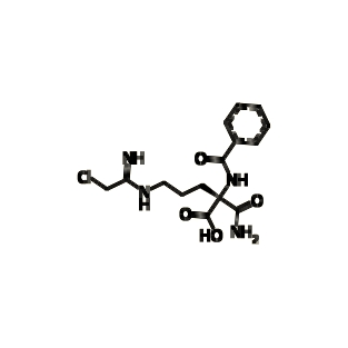 N=C(CCl)NCCC[C@@](NC(=O)c1ccccc1)(C(N)=O)C(=O)O